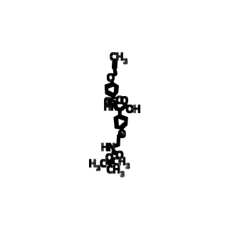 CC#CCOc1ccc(S(=O)(=O)NC(C(=O)O)c2ccc(OCCNC(=O)OC(C)(C)C)cc2)cc1